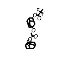 CC(F)(F)C(=O)OC1C2CC3CC1CC(OCC(=O)OC14CC5CC(C1)C(=O)C(C5)C4)(C3)C2